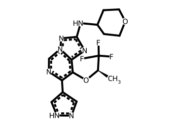 C[C@@H](Oc1c(-c2cn[nH]c2)ncn2nc(NC3CCOCC3)nc12)C(F)(F)F